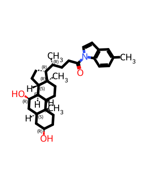 Cc1ccc2c(ccn2C(=O)CC[C@@H](C)[C@H]2CC[C@H]3[C@@H]4[C@H](O)C[C@@H]5C[C@H](O)CC[C@]5(C)[C@H]4CC[C@]23C)c1